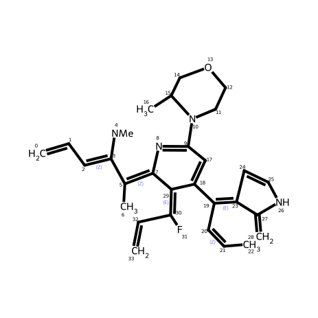 C=C/C=C(NC)/C(C)=c1\nc(N2CCOCC2C)cc(C(/C=C\C)=c2\cc[nH]c2=C)\c1=C(/F)C=C